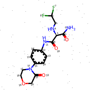 NC(=O)[C@H](NCC(F)F)C(=O)Nc1ccc(N2CCOCC2=O)cc1